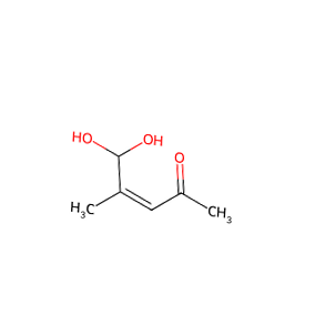 CC(=O)/C=C(/C)C(O)O